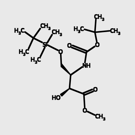 COC(=O)[C@@H](O)[C@@H](CO[Si](C)(C)C(C)(C)C)NC(=O)OC(C)(C)C